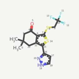 CC1(C)CC(=O)c2c(SCC(F)(F)F)sc(-c3cc[nH]n3)c2C1